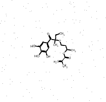 C=C(C)C(=O)OC(C)CCOC(C)(CC)C(=O)c1cc(O)c(O)c(O)c1